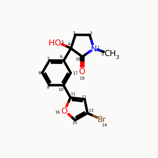 CN1CCC(O)(c2cccc(-c3cc(Br)co3)c2)C1=O